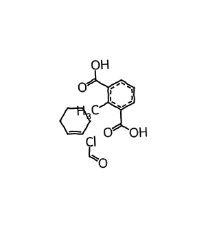 C1=CCCCC1.Cc1c(C(=O)O)cccc1C(=O)O.O=CCl